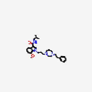 COc1cccc2c(C(=O)NCC(C)C)cn(CCCN3CCCN(CCc4ccccc4)CC3)c12